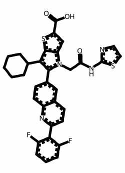 O=C(Cn1c(-c2ccc3nc(-c4c(F)cccc4F)ccc3c2)c(C2CCCCC2)c2sc(C(=O)O)cc21)Nc1nccs1